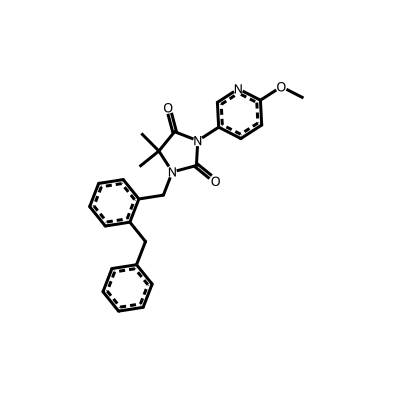 COc1ccc(N2C(=O)N(Cc3ccccc3Cc3ccccc3)C(C)(C)C2=O)cn1